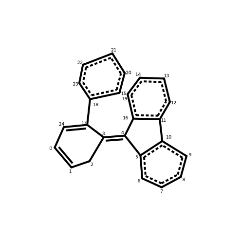 C1=CCC(=C2c3ccccc3-c3ccccc32)C(c2ccccc2)=C1